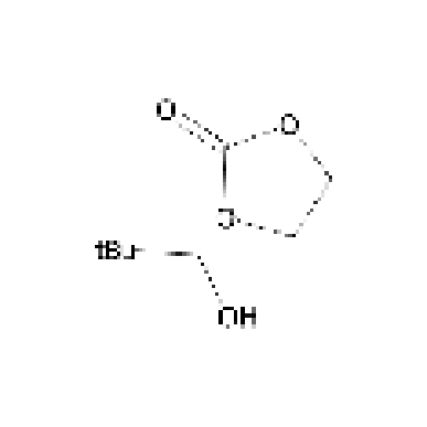 CC(C)(C)CO.O=C1OCCO1